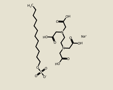 CCCCCCCCCCCCOS(=O)(=O)[O-].O=C(O)CN(CCN(CC(=O)O)CC(=O)O)CC(=O)O.[Na+]